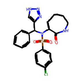 O=C1NCCCCC1N(C(c1ccccc1)c1c[nH]nn1)S(=O)(=O)c1ccc(Cl)cc1